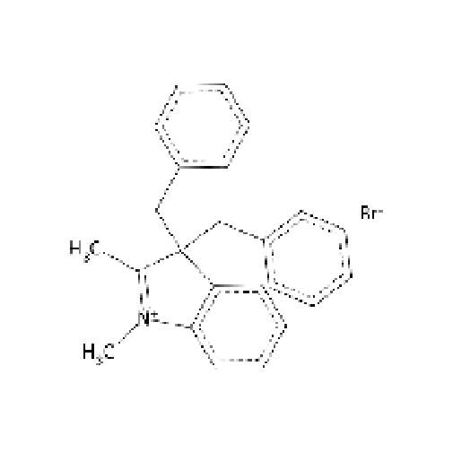 CC1=[N+](C)c2ccccc2C1(Cc1ccccc1)Cc1ccccc1.[Br-]